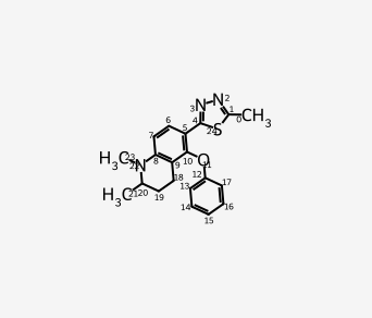 Cc1nnc(-c2ccc3c(c2Oc2ccccc2)CCC(C)N3C)s1